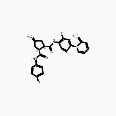 C=C1C[C@H](C(=O)Nc2ccc(Cl)cc2)[C@H](C(=O)Nc2ccc(N3C=CC=CC3=C)cc2F)C1